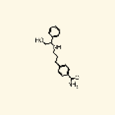 NC(=O)c1ccc(CCCNC(CO)c2ccccc2)cc1